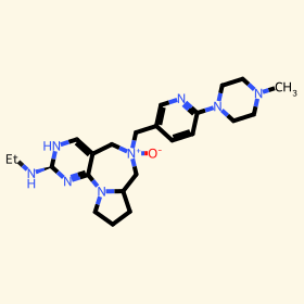 CCN[C@@H]1N=C2C(=CN1)C[N+]([O-])(Cc1ccc(N3CCN(C)CC3)nc1)CC1CCCN21